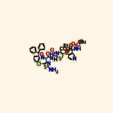 CCS(=O)(=O)C(NC(=O)OC(C)(C)C)c1cnccc1SC1=C(C(=O)O)N2C(=O)[C@@H](NC(=O)/C(=N\OC(c3ccccc3)(c3ccccc3)c3ccccc3)c3nc(N)sc3Cl)[C@@H]2SC1